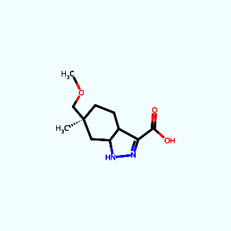 COC[C@@]1(C)CCC2C(C(=O)O)=NNC2C1